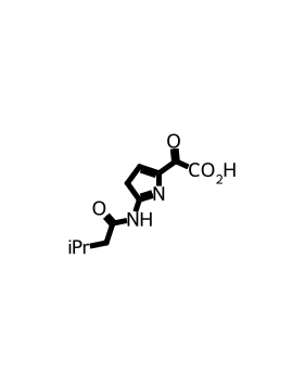 CC(C)CC(=O)NC1=NC(C(=O)C(=O)O)=CC1